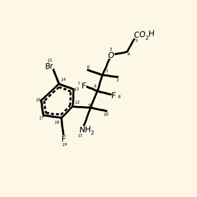 CC(C)(OCC(=O)O)C(F)(F)C(C)(N)c1cc(Br)ccc1F